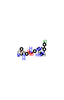 CN(C)CCC(CSc1ccccc1)Nc1ccc(S(=O)(=O)NC(=O)c2ccc(N3CCN(Cc4cc(CN5C[C@H]6C[C@@H]5CN6)ccc4-c4ccc(Cl)cc4)CC3)cc2)cc1[N+](=O)[O-]